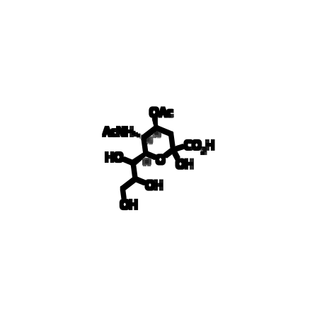 CC(=O)N[C@@H]1[C@@H](OC(C)=O)CC(O)(C(=O)O)O[C@H]1C(O)C(O)CO